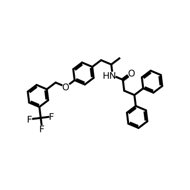 CC(Cc1ccc(OCc2cccc(C(F)(F)F)c2)cc1)NC(=O)CC(c1ccccc1)c1ccccc1